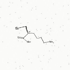 CC(C)(C)C[C@@H](CCCCN)C(=O)C(C)(C)C